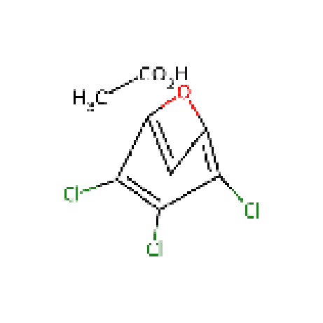 CC(=O)O.Clc1c2cc(c(Cl)c1Cl)O2